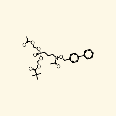 CC(=O)OCOP(=O)(CCCN(OCc1ccc(-c2ccccc2)cc1)C(C)=O)OCOC(=O)C(C)(C)C